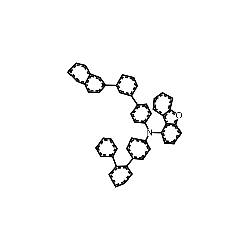 c1ccc(-c2ccccc2-c2ccc(N(c3ccc(-c4cccc(-c5ccc6ccccc6c5)c4)cc3)c3cccc4oc5ccccc5c34)cc2)cc1